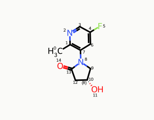 Cc1ncc(F)cc1N1C[C@H](O)CC1=O